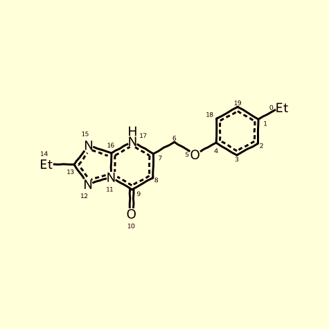 CCc1ccc(OCc2cc(=O)n3nc(CC)nc3[nH]2)cc1